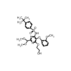 COc1ccccc1Oc1c(NS(=O)(=O)c2ccc(C(C)(C)C)cc2)nc(C(OC)OC)nc1OCCO